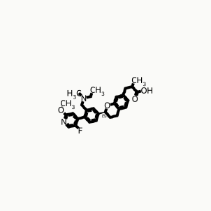 CCN(C)Cc1cc([C@@H]2CCc3ccc(CC(C)C(=O)O)cc3O2)ccc1-c1cc(OC)ncc1F